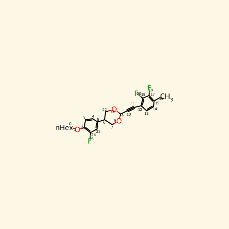 CCCCCCOc1ccc(C2COC(C#Cc3ccc(C)c(F)c3F)OC2)cc1F